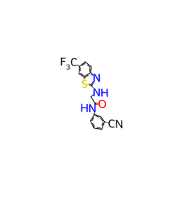 N#Cc1cccc(NC(=O)CNc2nc3ccc(C(F)(F)F)cc3s2)c1